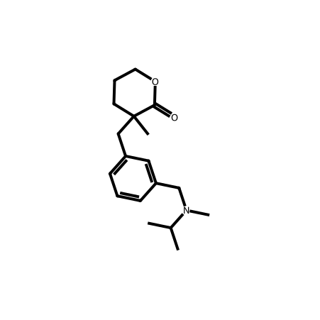 CC(C)N(C)Cc1cccc(CC2(C)CCCOC2=O)c1